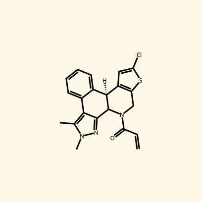 C=CC(=O)N1Cc2sc(Cl)cc2[C@@H]2c3ccccc3-c3c(nn(C)c3C)C21